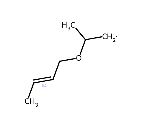 [CH2]C(C)OC/C=C/C